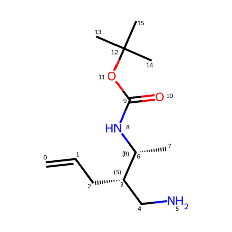 C=CC[C@@H](CN)[C@@H](C)NC(=O)OC(C)(C)C